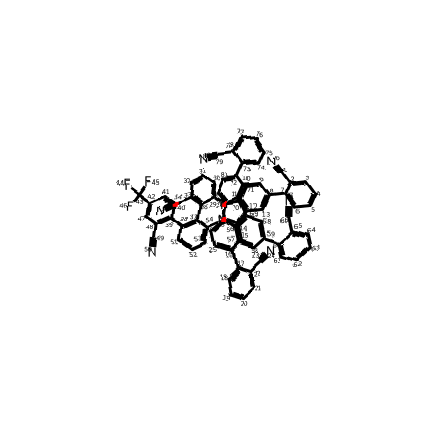 N#Cc1ccccc1-c1ccc2c(c1)c1cc(-c3ccccc3C#N)ccc1n2-c1cccc(C#N)c1-c1c(-c2ccc(C(F)(F)F)cc2C#N)cccc1-n1c2ccc(-c3ccccc3C#N)cc2c2cc(-c3ccccc3C#N)ccc21